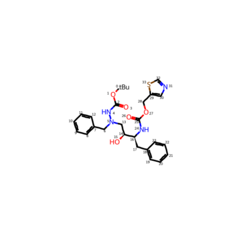 CC(C)(C)OC(=O)NN(Cc1ccccc1)C[C@H](O)[C@H](Cc1ccccc1)NC(=O)OCc1cncs1